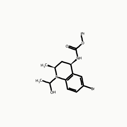 CC(C)OC(=O)N[C@@H]1C[C@H](C)N(C(C)O)c2ccc(Br)cc21